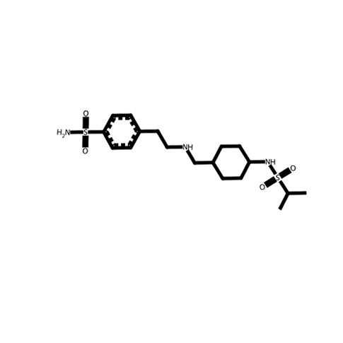 CC(C)S(=O)(=O)NC1CCC(CNCCc2ccc(S(N)(=O)=O)cc2)CC1